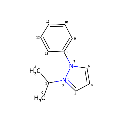 CC(C)[n+]1cccn1-c1ccccc1